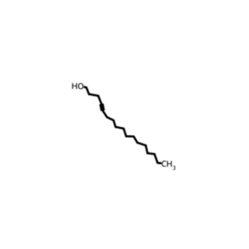 CCCCCCCCCCCCC#CCCCO